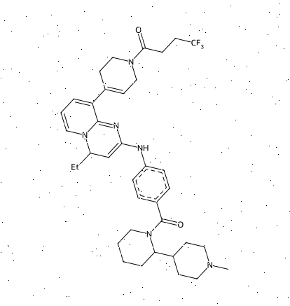 CCC1C=C(Nc2ccc(C(=O)N3CCCCC3C3CCN(C)CC3)cc2)N=C2C(C3=CCN(C(=O)CCC(F)(F)F)CC3)=CC=CN21